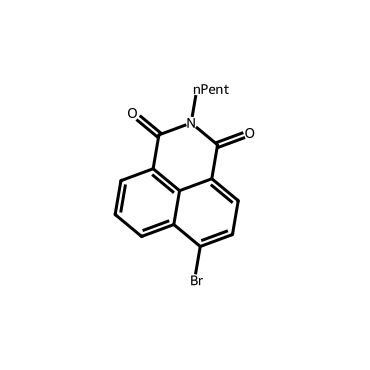 CCCCCN1C(=O)c2cccc3c(Br)ccc(c23)C1=O